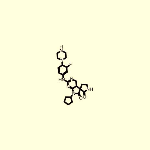 O=C1NCCC12C(=O)N(C1CCCC1)C1=NC(NC3=CC(F)C(N4CCNCC4)C=C3)=NCC12